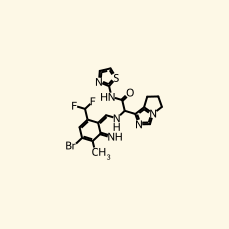 CC1=C(Br)C=C(C(F)F)/C(=C/NC(C(=O)Nc2nccs2)c2ncn3c2CCC3)C1=N